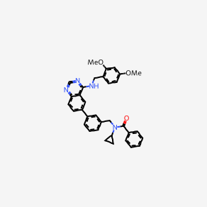 COc1ccc(CNc2ncnc3ccc(-c4cccc(CN(C(=O)c5ccccc5)C5CC5)c4)cc23)c(OC)c1